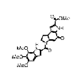 COC(=O)c1cc2c([nH]1)C(=O)C=C1C2CCN1C(=O)c1cc2cc(OC)c(OC)c(OC)c2[nH]1